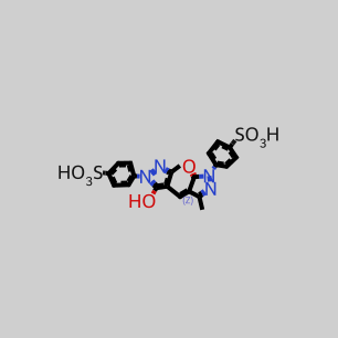 CC1=NN(c2ccc(S(=O)(=O)O)cc2)C(=O)/C1=C\c1c(C)nn(-c2ccc(S(=O)(=O)O)cc2)c1O